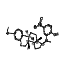 COc1ccc2c(c1)CC[C@@H]1[C@@H]2CC[C@]2(C)[C@@H](N(C)c3cc([N+](=O)[O-])ccc3O)CC[C@@H]12